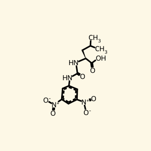 CC(C)C[C@H](NC(=O)Nc1cc([N+](=O)[O-])cc([N+](=O)[O-])c1)C(=O)O